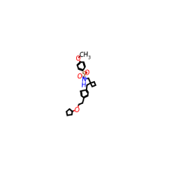 COc1ccc(S(=O)(=O)NCC2(Cc3ccc(CCOC4CCCC4)cc3)CCC2)cc1